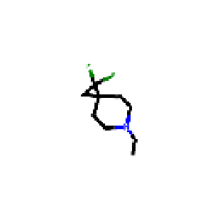 CCN1CCC2(CC1)CC2(F)F